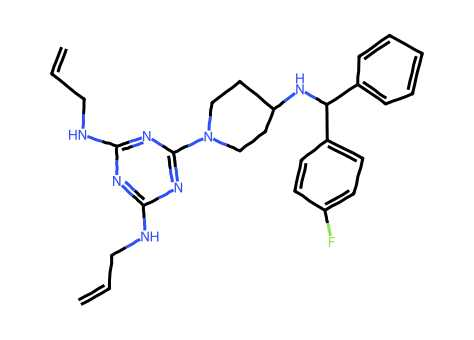 C=CCNc1nc(NCC=C)nc(N2CCC(NC(c3ccccc3)c3ccc(F)cc3)CC2)n1